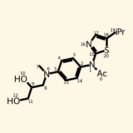 CC(=O)N(c1ccc(N(C)CC(O)CO)cc1)c1ncc(C(C)C)s1